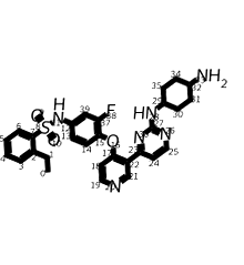 CCc1ccccc1S(=O)(=O)Nc1ccc(Oc2ccncc2-c2ccnc(NC3CCC(N)CC3)n2)c(F)c1